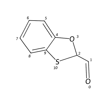 O=CC1Oc2ccccc2S1